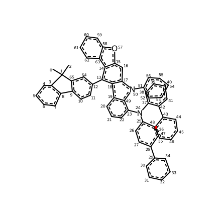 CC1(C)c2ccccc2-c2ccc(-c3c4c(cc5c3c3cccc(N(c6ccc(-c7ccccc7)cc6)c6ccccc6-c6ccccc6)c3n5-c3ccccc3)oc3ccccc34)cc21